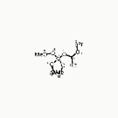 CCCOC(CC)O[Si](OOC)(OOC)OOC